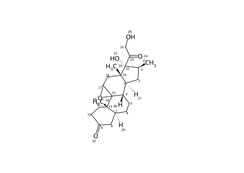 C[C@H]1C[C@H]2[C@@H]3CC[C@H]4CC(=O)CC[C@]4(C)C34OC4C[C@]2(C)[C@@]1(O)C(=O)CO